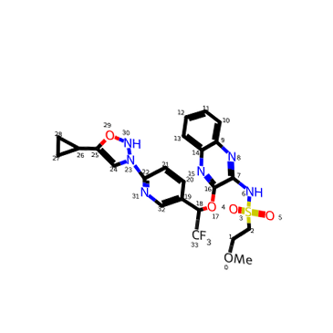 COCCS(=O)(=O)Nc1nc2ccccc2nc1OC(c1ccc(N2C=C(C3CC3)ON2)nc1)C(F)(F)F